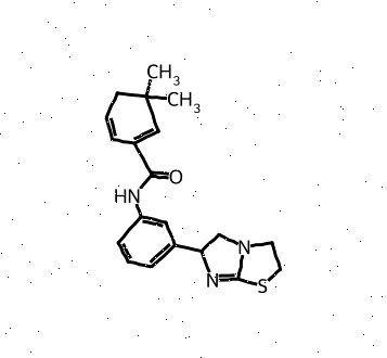 CC1(C)C=C(C(=O)Nc2cccc(C3CN4CCSC4=N3)c2)C=CC1